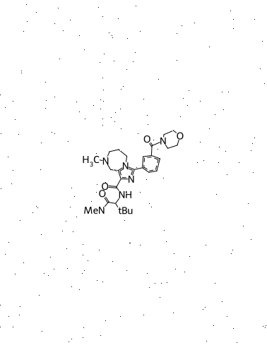 CNC(=O)C(NC(=O)c1nc(-c2cccc(C(=O)N3CCOCC3)c2)n2c1CN(C)CCC2)C(C)(C)C